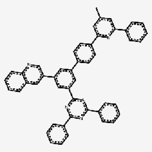 Cc1cc(-c2ccccc2)nc(-c2ccc(-c3cc(-c4cnc5ccccc5c4)cc(-c4nc(-c5ccccc5)nc(-c5ccccc5)n4)c3)cc2)c1